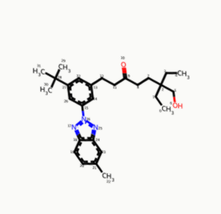 CCC(CC)(CO)CCC(=O)CCc1cc(-n2nc3ccc(C)cc3n2)cc(C(C)(C)C)c1